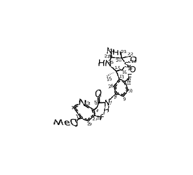 COc1cnc(C(=O)Nc2ccc(F)c([C@]3(C)CS(=O)(=O)C(C)(C)C(=N)N3)c2)c(F)c1